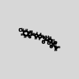 O=C(NC1CC2(C1)CC(c1nc3cc(Cl)ccc3s1)C2)c1ccc(S(=O)(=O)C2CC2)o1